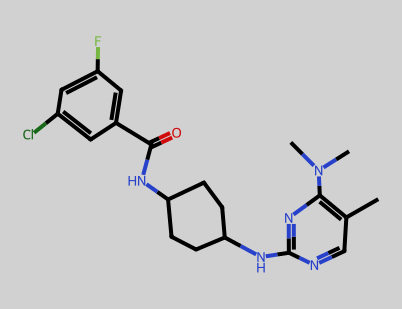 Cc1cnc(NC2CCC(NC(=O)c3cc(F)cc(Cl)c3)CC2)nc1N(C)C